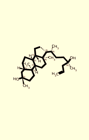 C=CC[C@](C)(O)CC[C@@H](C)[C@H]1CC[C@H]2[C@@H]3CC[C@H]4C[C@@](C)(O)CC[C@]4(C)[C@H]3CC[C@]12C